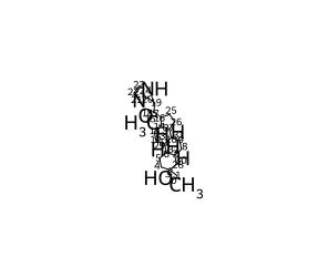 CC[C@@]1(O)CC[C@H]2[C@@H](CC[C@@H]3[C@@H]2CC[C@]2(C)[C@@H](C(=O)Cc4ncc[nH]4)CC[C@@H]32)C1